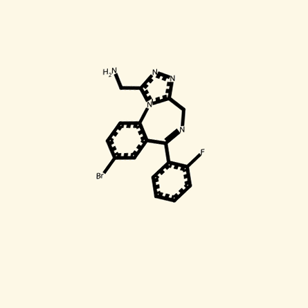 NCc1nnc2n1-c1ccc(Br)cc1C(c1ccccc1F)=NC2